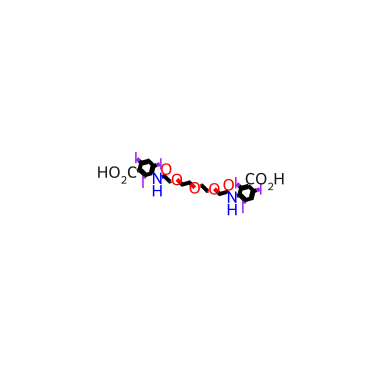 O=C(COCCOCCOCC(=O)Nc1c(I)cc(I)c(C(=O)O)c1I)Nc1c(I)cc(I)c(C(=O)O)c1I